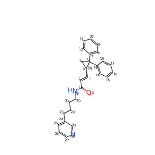 O=C(C=C[C@H]1CC1(c1ccccc1)c1ccccc1)NCCCCc1cccnc1